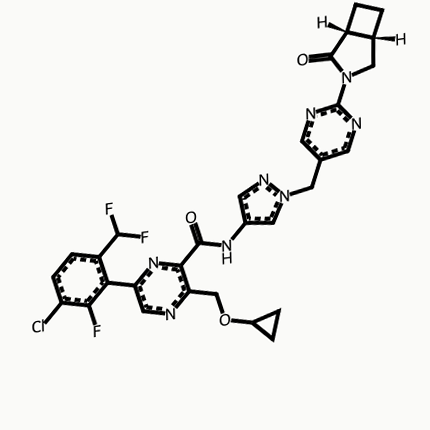 O=C(Nc1cnn(Cc2cnc(N3C[C@H]4CC[C@H]4C3=O)nc2)c1)c1nc(-c2c(C(F)F)ccc(Cl)c2F)cnc1COC1CC1